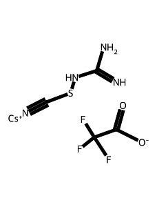 N#CSNC(=N)N.O=C([O-])C(F)(F)F.[Cs+]